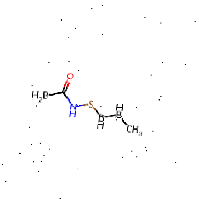 BC(=O)NSBBC